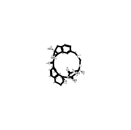 CC[C@]12CCCCc3ccc4c(c3)[C@]3(C[C@@]3(O)C4)NC(=O)c3ccc4c(c3)[C@@H](CCC4)N(C(=N)N1)C(=O)C2